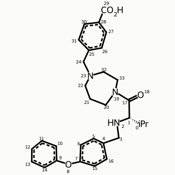 CC(C)[C@H](NCc1ccc(Oc2ccccc2)cc1)C(=O)N1CCCN(Cc2ccc(C(=O)O)cc2)CC1